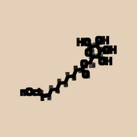 CCCCCCCC/C=C\CCCCCCCC(=O)OCC1OC(O)C(O)C(O)C1O